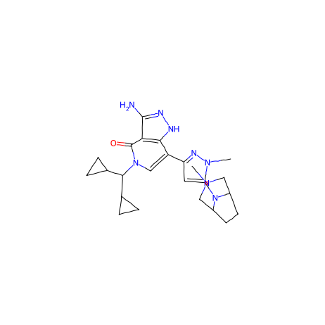 CN1CC2CCC(C1)N2c1cc(-c2cn(C(C3CC3)C3CC3)c(=O)c3c(N)n[nH]c23)nn1C